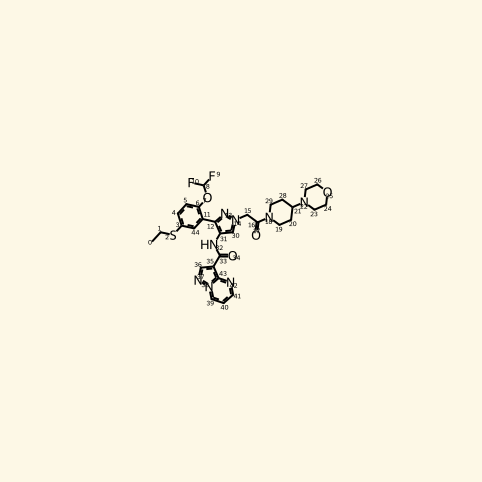 CCSc1ccc(OC(F)F)c(-c2nn(CC(=O)N3CCC(N4CCOCC4)CC3)cc2NC(=O)c2cnn3cccnc23)c1